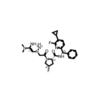 CN(C)/C(N)=C/N(N)CC(=O)N1C[C@H](F)C[C@H]1C(=O)N[C@@H](c1ccccc1)c1ccc(C2CC2)c(F)n1